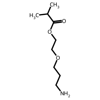 CC(C)C(=O)OCCOCCCN